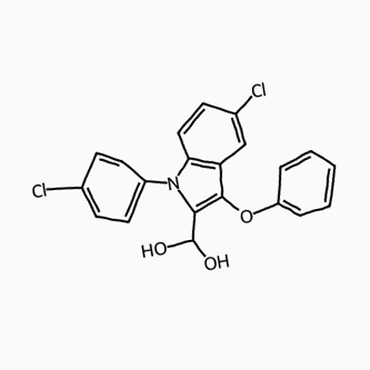 OC(O)c1c(Oc2ccccc2)c2cc(Cl)ccc2n1-c1ccc(Cl)cc1